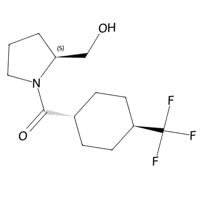 O=C([C@H]1CC[C@H](C(F)(F)F)CC1)N1CCC[C@H]1CO